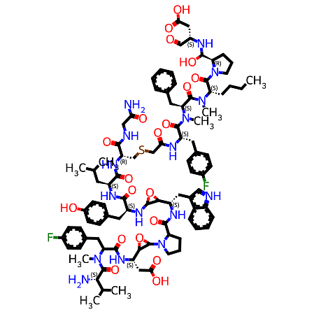 CCCC[C@@H](C(=O)N1CCC[C@@H]1C(O)N[C@H](C=O)CC(=O)O)N(C)C(=O)[C@H](Cc1ccccc1)N(C)C(=O)[C@H](Cc1ccc(F)cc1)NC(=O)CSC[C@H](NC(=O)[C@H](CC(C)C)NC(=O)[C@H](Cc1ccc(O)cc1)NC1OC1[C@H](Cc1c[nH]c2ccccc12)NC(=O)C1CCCN1C1OC1[C@H](CC(=O)O)NC(=O)C(Cc1ccc(F)cc1)N(C)C(=O)[C@@H](N)C(C)C)C(=O)NCC(N)=O